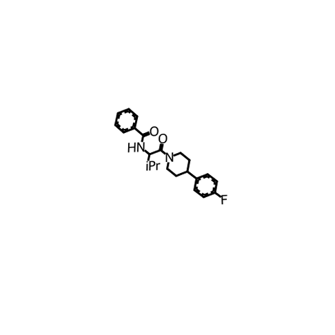 CC(C)C(NC(=O)c1ccccc1)C(=O)N1CCC(c2ccc(F)cc2)CC1